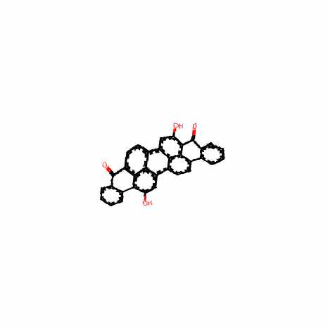 O=C1c2ccccc2-c2c(O)cc3c4ccc5c6c(c(O)cc(c7ccc1c2c73)c64)C(=O)c1ccccc1-5